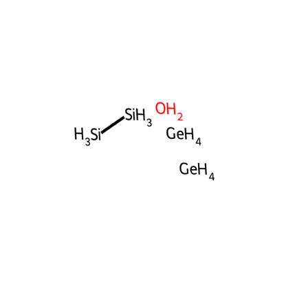 O.[GeH4].[GeH4].[SiH3][SiH3]